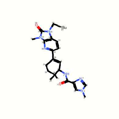 Cn1cnc(C(=O)NC2C=C(c3ccc4c(n3)n(C)c(=O)n4CC(C)(C)C)CCC2(C)C)c1